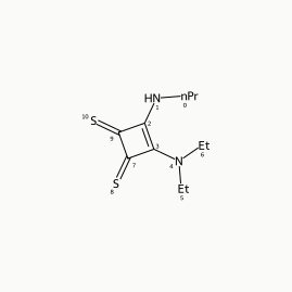 CCCNc1c(N(CC)CC)c(=S)c1=S